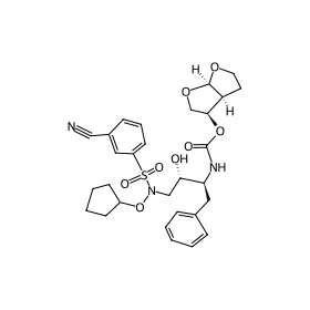 N#Cc1cccc(S(=O)(=O)N(C[C@H](O)[C@H](Cc2ccccc2)NC(=O)O[C@H]2CO[C@H]3OCC[C@H]32)OC2CCCC2)c1